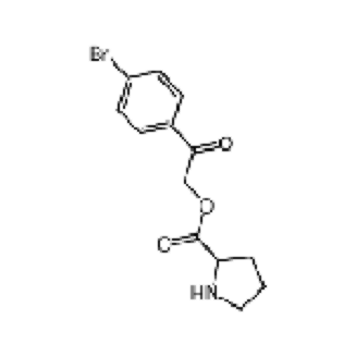 O=C(COC(=O)C1CCCN1)c1ccc(Br)cc1